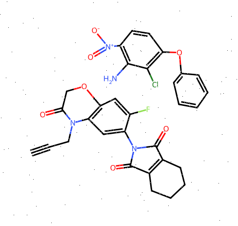 C#CCN1C(=O)COc2cc(F)c(N3C(=O)C4=C(CCCC4)C3=O)cc21.Nc1c([N+](=O)[O-])ccc(Oc2ccccc2)c1Cl